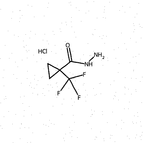 Cl.NNC(=O)C1(C(F)(F)F)CC1